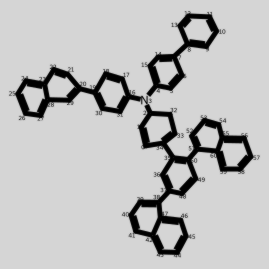 C1=CC(N(c2ccc(-c3ccccc3)cc2)c2ccc(-c3ccc4ccccc4c3)cc2)CC=C1c1cc(-c2cccc3ccccc23)ccc1-c1cccc2ccccc12